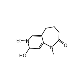 CCN1C=C2CCCC(=O)N(C)C2=CC1O